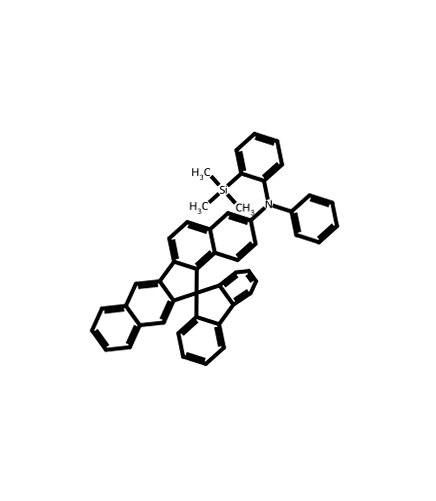 C[Si](C)(C)c1ccccc1N(c1ccccc1)c1ccc2c3c(ccc2c1)-c1cc2ccccc2cc1C31c2ccccc2-c2ccccc21